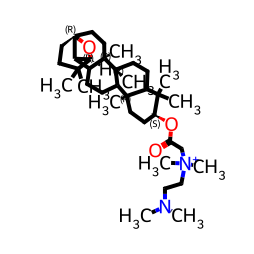 CN(C)CC[N+](C)(C)CC(=O)O[C@H]1CC[C@@]2(C)C(CC[C@]3(C)C2CCC2C4[C@H]5O[C@@]4(CCC5(C)C)CC[C@]23C)C1(C)C